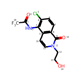 O=C(Nc1c(Cl)ccc2c(=O)n(CCO)ccc12)C(F)(F)F